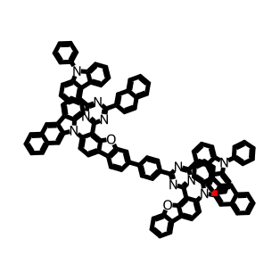 c1ccc(-n2c3ccccc3c3c(-c4nc(-c5ccc(-c6ccc7c(c6)oc6c(-c8nc(-c9ccc%10ccccc%10c9)nc(-c9cccc%10c9c9ccccc9n%10-c9ccccc9)n8)c(-n8c9ccccc9c9cc%10ccccc%10cc98)ccc67)cc5)nc(-c5c(-n6c7ccccc7c7cc8ccccc8cc76)ccc6c5oc5ccccc56)n4)cccc32)cc1